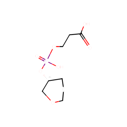 O=C(O)CCOP(=O)(O)O[C@@H]1CCCOC1